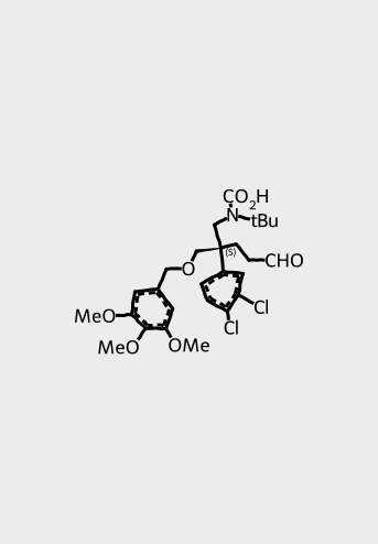 COc1cc(COC[C@](CCC=O)(CN(C(=O)O)C(C)(C)C)c2ccc(Cl)c(Cl)c2)cc(OC)c1OC